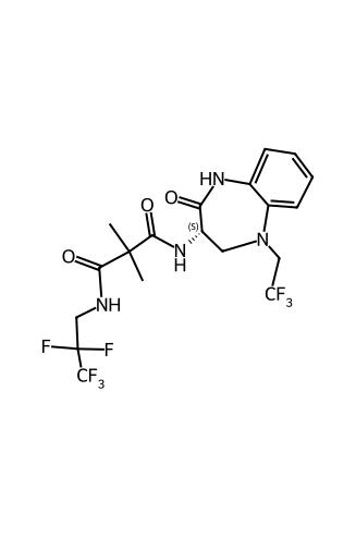 CC(C)(C(=O)NCC(F)(F)C(F)(F)F)C(=O)N[C@H]1CN(CC(F)(F)F)c2ccccc2NC1=O